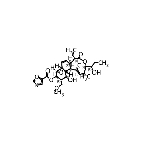 CC[C@@H](O)[C@H]1OC(=O)[C@H](CC)[C@H]2C=C[C@H]3[C@H]4O[C@]2(/C(C)=C/[C@H]1C)[C@@H]3[C@H](O)[C@@H](COC)[C@H]4OC(=O)c1cnco1